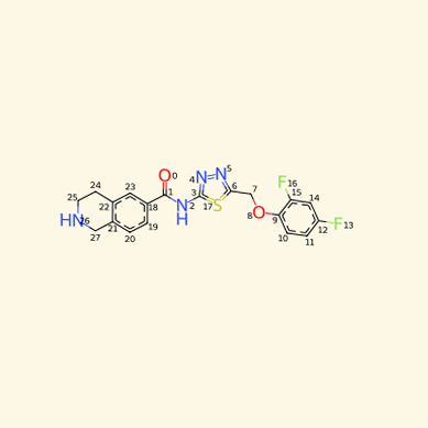 O=C(Nc1nnc(COc2ccc(F)cc2F)s1)c1ccc2c(c1)CCNC2